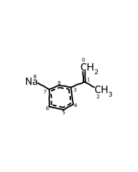 C=C(C)c1ccc[c]([Na])c1